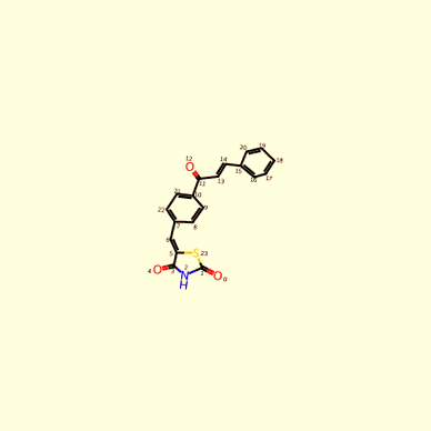 O=C1NC(=O)/C(=C/c2ccc(C(=O)/C=C/c3ccccc3)cc2)S1